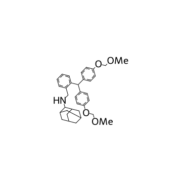 COCOc1ccc(C(c2ccc(OCOC)cc2)c2ccccc2CNC2C3CC4CC(C3)CC2C4)cc1